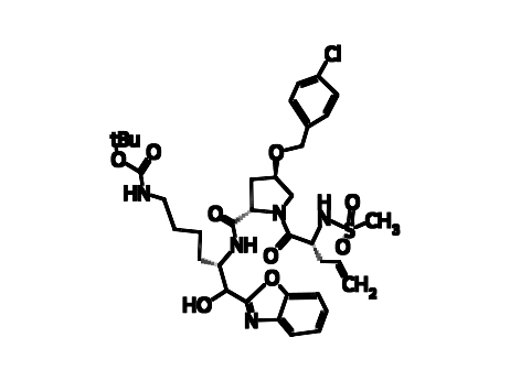 C=CC[C@@H](NS(C)(=O)=O)C(=O)N1C[C@H](OCc2ccc(Cl)cc2)C[C@H]1C(=O)N[C@@H](CCCCNC(=O)OC(C)(C)C)C(O)c1nc2ccccc2o1